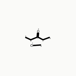 CCC(=O)CC.CCl